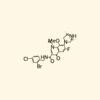 COc1c(N2C[C@@H](C)N[C@@H](C)C2)c(F)cc2c(=O)c(C(=O)NCc3ccc(Cl)cc3Br)cn(C3CC3)c12